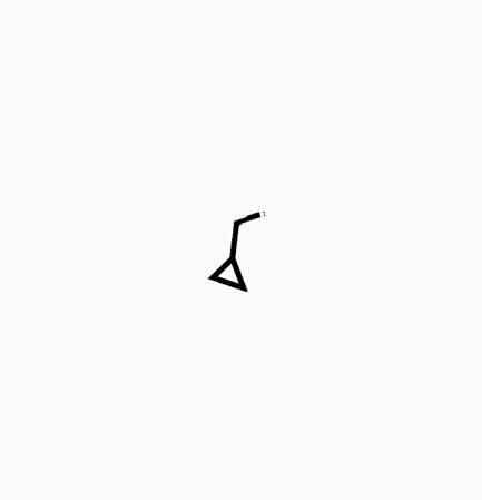 [CH]CC1CC1